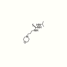 CC(C)NNC(=S)NCCCN1CCOCC1